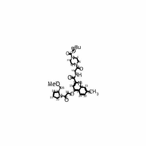 CCCCOC(=O)N1CCN(C(=O)CNC(=O)c2cc(OCC(=O)N3CCC[C@H]3COC)c3ccc(C)cc3n2)CC1